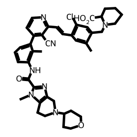 Cc1cc(C=Cc2nccc(-c3cccc(NC(=O)c4nc5c(n4C)CCN(C4CCOCC4)C5)c3C)c2C#N)c(Cl)cc1CN1CCCCC1C(=O)O